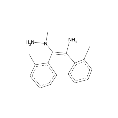 Cc1ccccc1/C(N)=C(\c1ccccc1C)N(C)N